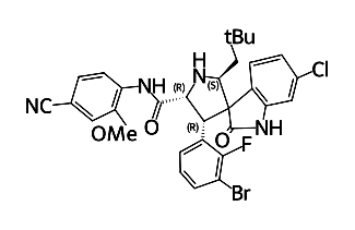 COc1cc(C#N)ccc1NC(=O)[C@@H]1N[C@@H](CC(C)(C)C)C2(C(=O)Nc3cc(Cl)ccc32)[C@@H]1c1cccc(Br)c1F